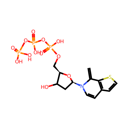 C=C1c2sccc2C=CN1[C@H]1CC(O)[C@@H](COP(=O)(O)OP(=O)(O)OP(=O)(O)O)O1